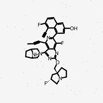 C#Cc1c(F)ccc2cc(O)cc(-c3nc(C#CC)c4c(N5CC6CCC(C5)N6)nc(OC[C@@]56CCCN5C[C@H](F)C6)nc4c3F)c12